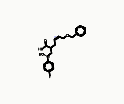 O=C(O)C(C/C=C\COCc1ccccc1)C[C@@H](O)c1ccc(F)cc1